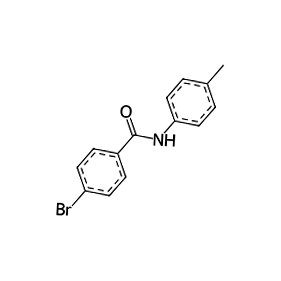 Cc1ccc(NC(=O)c2ccc(Br)cc2)cc1